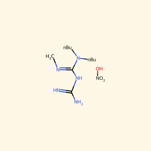 CCCCN(CCCC)/C(=N\C)NC(=N)N.O=[N+]([O-])O